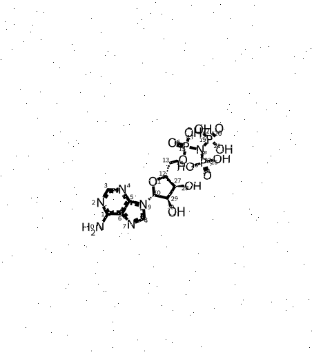 Nc1ncnc2c1ncn2[C@@H]1O[C@H](COP(=O)(O)N(P(=O)(O)O)P(=O)(O)O)[C@@H](O)[C@H]1O